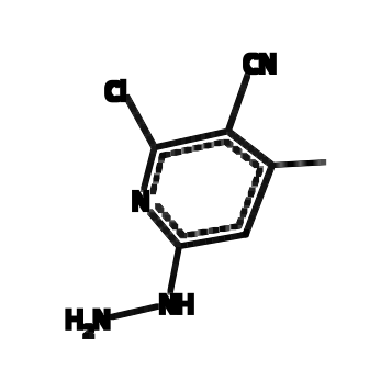 Cc1cc(NN)nc(Cl)c1C#N